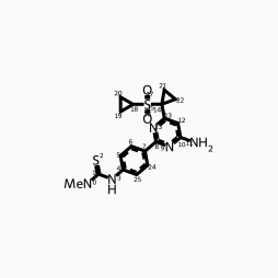 CNC(=S)Nc1ccc(-c2nc(N)cc(C3(S(=O)(=O)C4CC4)CC3)n2)cc1